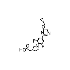 O=C(O)CC1CCN(c2c(F)cc(-c3cncc(OCC4CC4)n3)cc2F)C1